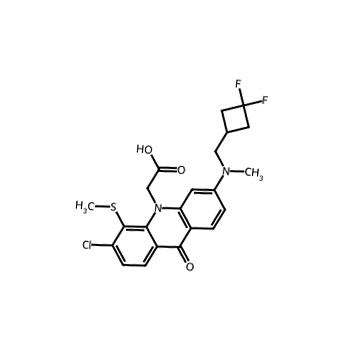 CSc1c(Cl)ccc2c(=O)c3ccc(N(C)CC4CC(F)(F)C4)cc3n(CC(=O)O)c12